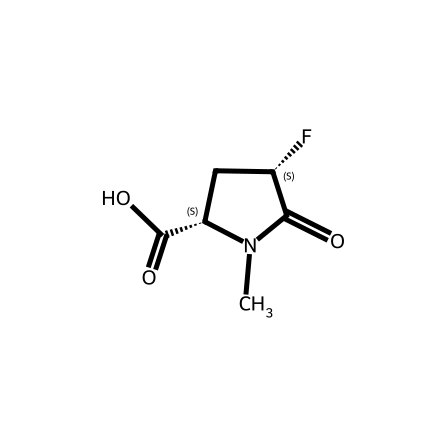 CN1C(=O)[C@@H](F)C[C@H]1C(=O)O